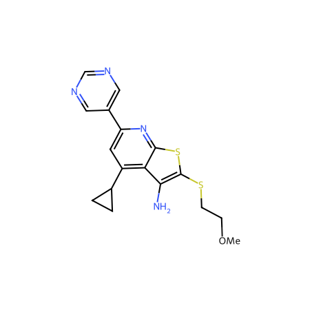 COCCSc1sc2nc(-c3cncnc3)cc(C3CC3)c2c1N